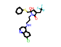 O=C1C(CC(F)(F)F)=CC(O)(CSc2ccccc2)N1CCCNc1ccnc2cc(Cl)ccc12